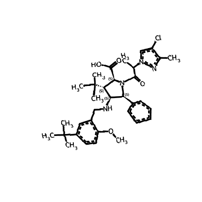 COc1ccc(C(C)(C)C)cc1CN[C@H]1[C@H](C(C)(C)C)[C@@H](C(=O)O)N(C(=O)C(C)n2cc(Cl)c(C)n2)[C@H]1c1ccccc1